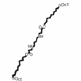 CCCCCCCC/C=C/CCCCCCCCOC(=O)CCNCCCCNCCC(=O)OCCCCCCCC/C=C/CCCCCCCC